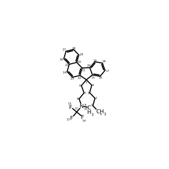 CCCCCC1(CCCN(C)C(F)(F)F)c2ccccc2-c2c1ccc1ccccc21